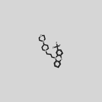 FC(F)(F)c1ccc2c(c1)N(CCCN1CCC(N3CCOCC3)CC1)c1ccccc1S2